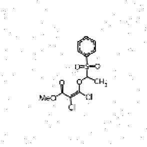 COC(=O)/C(Cl)=C(/Cl)OC(C)S(=O)(=O)c1ccccc1